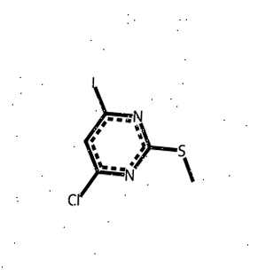 CSc1nc(Cl)cc(I)n1